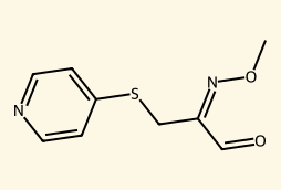 CON=C(C=O)CSc1ccncc1